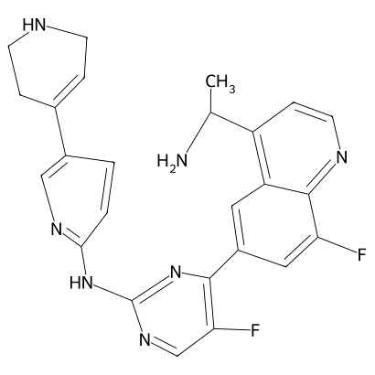 CC(N)c1ccnc2c(F)cc(-c3nc(Nc4ccc(C5=CCNCC5)cn4)ncc3F)cc12